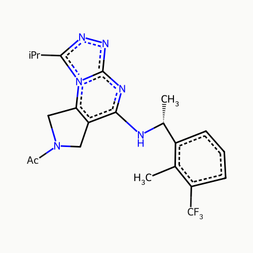 CC(=O)N1Cc2c(N[C@H](C)c3cccc(C(F)(F)F)c3C)nc3nnc(C(C)C)n3c2C1